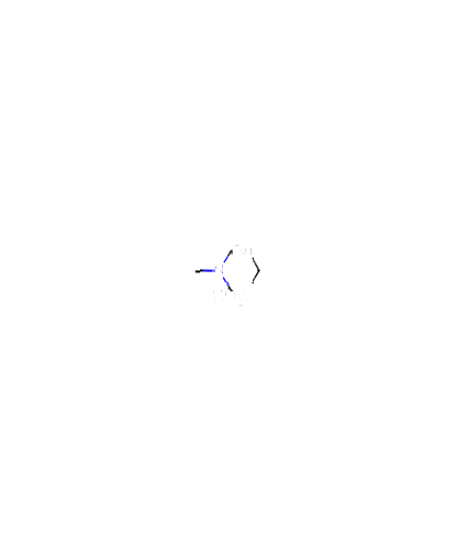 CCC(C)CC(=O)O.CN(C)C